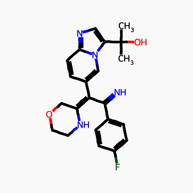 CC(C)(O)c1cnc2ccc(/C(C(=N)c3ccc(F)cc3)=C3\COCCN3)cn12